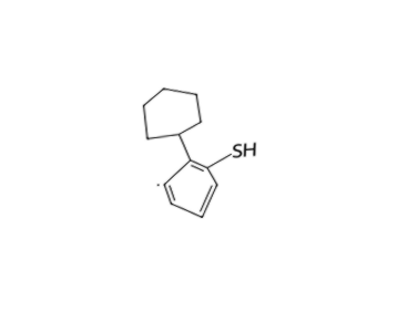 Sc1ccc[c]c1C1CCCCC1